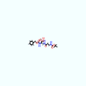 CC(C)(C)OC(=O)NCCC(=O)NC[C@H](NC(=O)OCc1ccccc1)C(=O)O